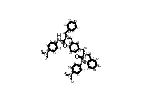 CN(C)c1ccc(NC(=O)N(Cc2ccccc2)C[C@@H]2CCC[C@H](CN(Cc3ccccc3)C(=O)Nc3ccc(N(C)C)cc3)C2)cc1